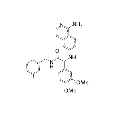 COc1ccc(C(Nc2ccc3c(N)nccc3c2)C(=O)NCc2cccc(C)c2)cc1OC